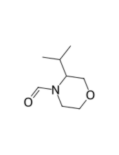 CC(C)C1COCCN1C=O